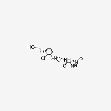 CC(c1cccc(OCC(C)(C)O)c1Cl)N1CC(NC(=O)c2cn(C3CC3)nn2)C1